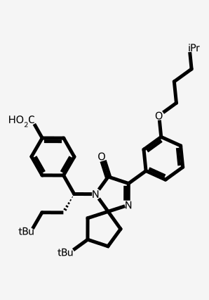 CC(C)CCCOc1cccc(C2=NC3(CCC(C(C)(C)C)C3)N([C@H](CCC(C)(C)C)c3ccc(C(=O)O)cc3)C2=O)c1